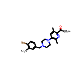 CNC(=O)c1nc(C)c(N2CCN(Cc3ccc(Br)c([N+](=O)[O-])c3)CC2)cc1C